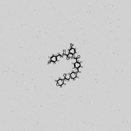 O=C(Nc1ccc(Br)cc1C(=O)NN=Cc1ccc(F)cc1)c1ccc(CN2CCN(CC(=O)N3CCOCC3)CC2)cc1